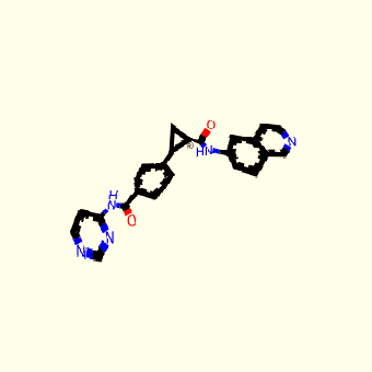 O=C(Nc1ccncn1)c1ccc(C2C[C@H]2C(=O)Nc2ccc3cnccc3c2)cc1